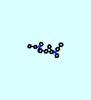 C1=CCCC(N(c2ccc(-c3ccccc3)cc2)c2cccc(-c3ccc(-c4ccc(N(c5ccccc5)c5ccc(-c6ccccc6)cc5)cc4-c4ccccc4)cc3)c2)=C1